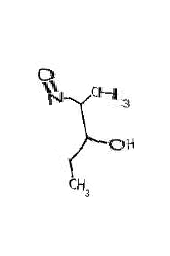 CCC(O)C(C)N=O